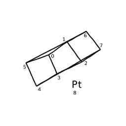 C12C3C4C1C1C2C3C41.[Pt]